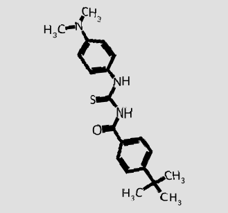 CN(C)c1ccc(NC(=S)NC(=O)c2ccc(C(C)(C)C)cc2)cc1